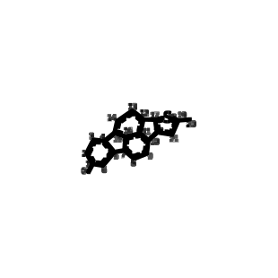 Cc1ccc2c(c1)-c1ccc3c4c(ccc-2c14)-c1sc(C)cc1-3